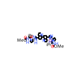 COC(=O)N[C@H](C(=O)N1CCC[C@H]1c1ncc(-c2ccc(-c3ccc(-c4cnc([C@@H]5CCCN5C(=O)[C@@H](NC(=O)OC)C(C)C)[nH]4)c4cccnc34)c3ncccc23)[nH]1)C(C)C